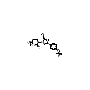 CC(C)(C)Oc1ccc([C@H]2CN(C3CCC(=O)NC3=O)C(=O)O2)cc1